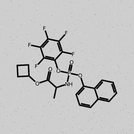 CC(NP(=O)(Oc1c(F)c(F)c(F)c(F)c1F)Oc1cccc2ccccc12)C(=O)OC1CCC1